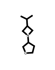 CC(C)C1CN(C2CCOC2)C1